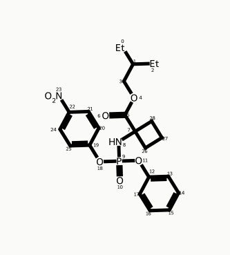 CCC(CC)COC(=O)C1(NP(=O)(Oc2ccccc2)Oc2ccc([N+](=O)[O-])cc2)CCC1